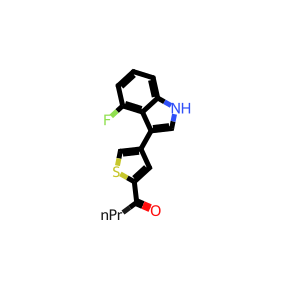 CCCC(=O)c1cc(-c2c[nH]c3cccc(F)c23)cs1